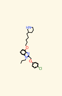 CCCn1c(COc2ccc(Cl)cc2)nc2c(OCCCCCC3CCCNC3)cccc21